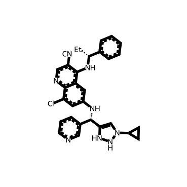 CC[C@@H](Nc1c(C#N)cnc2c(Cl)cc(N[C@H](C3=CN(C4CC4)NN3)c3cccnc3)cc12)c1ccccc1